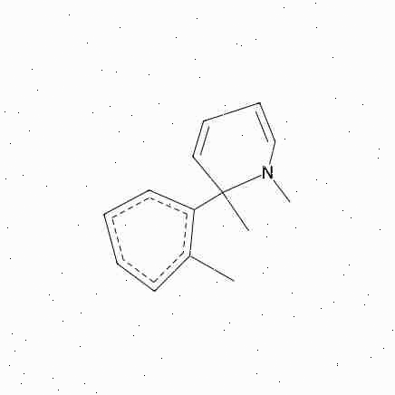 Cc1ccccc1C1(C)C=CC=CN1C